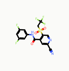 N#Cc1cc(C(=O)Nc2cc(F)cc(F)c2)c(S(=O)(=O)CC(F)(F)F)cn1